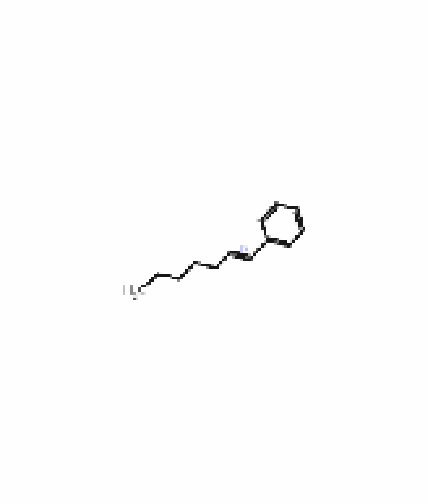 CCCCC/C=C/c1[c]cccc1